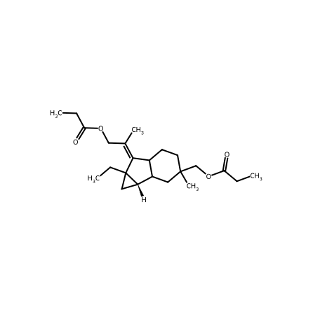 CCC(=O)OC/C(C)=C1/C2CCC(C)(COC(=O)CC)CC2[C@@H]2CC12CC